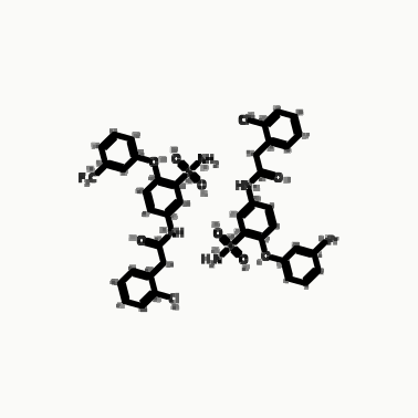 CC(C)c1cccc(Oc2ccc(NC(=O)Cc3ccccc3Cl)cc2S(N)(=O)=O)c1.NS(=O)(=O)c1cc(NC(=O)Cc2ccccc2Cl)ccc1Oc1cccc(C(F)(F)F)c1